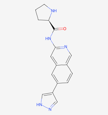 O=C(Nc1cc2cc(-c3cn[nH]c3)ccc2cn1)[C@H]1CCCN1